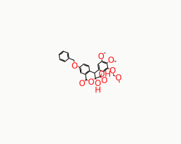 COCOc1cc(C2c3ccc(OCc4ccccc4)cc3C(=O)OC2(O)C(=O)O)cc(OC)c1OC